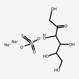 O=C(CO)C(O)C(O)C(O)CO.O=S([O-])([O-])=S.[Na+].[Na+]